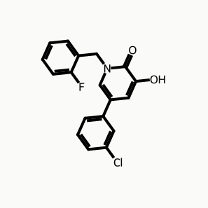 O=c1c(O)cc(-c2cccc(Cl)c2)cn1Cc1ccccc1F